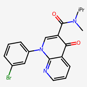 CC(C)N(C)C(=O)c1cn(-c2cccc(Br)c2)c2ncccc2c1=O